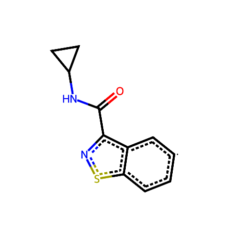 O=C(NC1CC1)c1nsc2cc[c]cc12